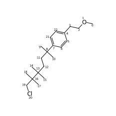 COCCc1ccc(C(C)(C)CCC(C)(C)C(C)(C)CCl)cc1